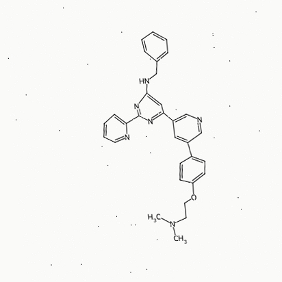 CN(C)CCOc1ccc(-c2cncc(-c3cc(NCc4ccccc4)nc(-c4ccccn4)n3)c2)cc1